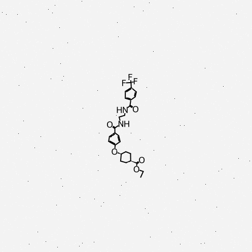 CCOC(=O)[C@H]1CC[C@@H](Oc2ccc(C(=O)NCCNC(=O)c3ccc(C(F)(F)F)cc3)cc2)CC1